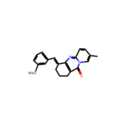 COc1cccc(C=C2CCCc3c2nc2ccc(C)cn2c3=O)c1